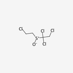 [O-][S+](CCCl)C(Cl)(Cl)CCl